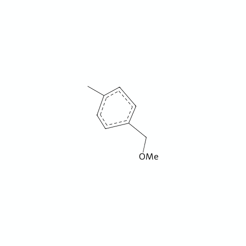 [CH2]OCc1ccc(C)cc1